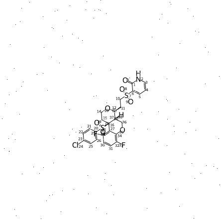 O=c1[nH]cccc1S(=O)(=O)CC[C@@H]1OCC[C@@]2(S(=O)(=O)c3ccc(Cl)cc3)c3c(F)ccc(F)c3OC[C@@H]12